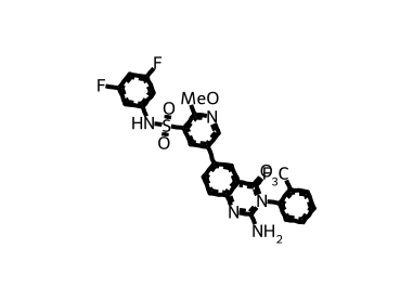 COc1ncc(-c2ccc3nc(N)n(-c4ccccc4C(F)(F)F)c(=O)c3c2)cc1S(=O)(=O)Nc1cc(F)cc(F)c1